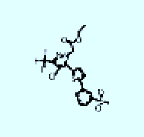 CCOC(=O)Cn1nc(C(F)(F)F)c(Cl)c1-c1ccc(-c2cccc(S(C)(=O)=O)c2)s1